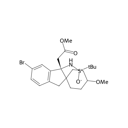 COC(=O)C[C@]1(N[S+]([O-])C(C)(C)C)c2cc(Br)ccc2CC12CCC(OC)CC2